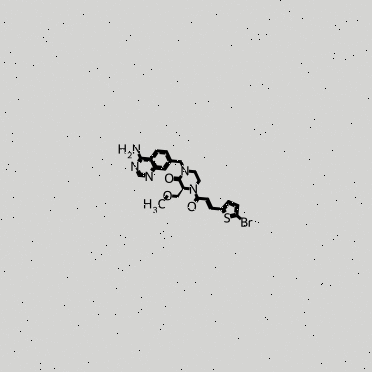 COC[C@H]1C(=O)N(Cc2ccc3c(N)ncnc3c2)CCN1C(=O)C=Cc1ccc(Br)s1